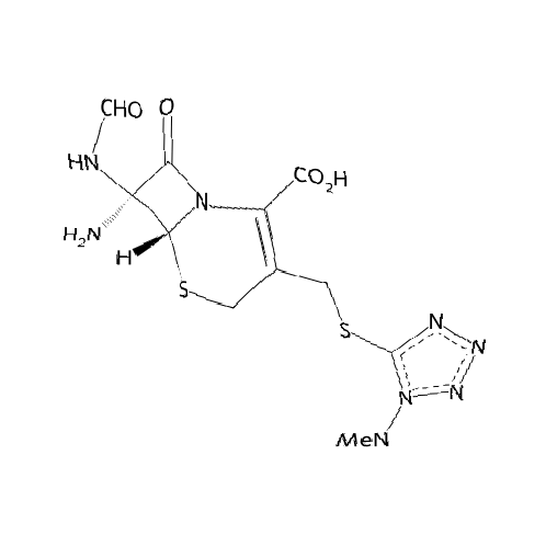 CNn1nnnc1SCC1=C(C(=O)O)N2C(=O)[C@](N)(NC=O)[C@H]2SC1